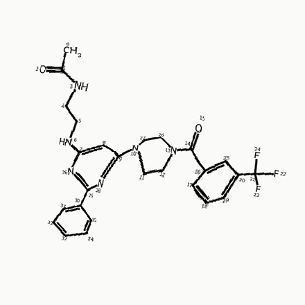 CC(=O)NCCNc1cc(N2CCN(C(=O)c3cccc(C(F)(F)F)c3)CC2)nc(-c2ccccc2)n1